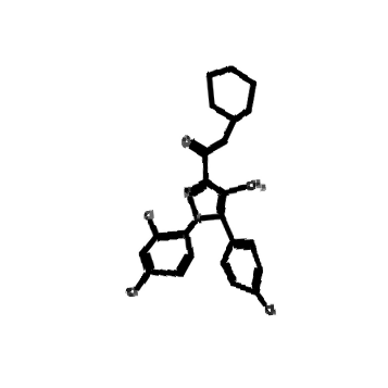 Cc1c(C(=O)CC2CCCCC2)nn(-c2ccc(Cl)cc2Cl)c1-c1ccc(Cl)cc1